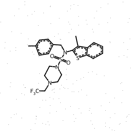 Cc1ccc(CN(c2sc3ccccc3c2C)S(=O)(=O)N2CCN(CC(F)(F)F)CC2)cc1